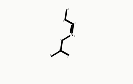 CC/C=N\CC(C)C